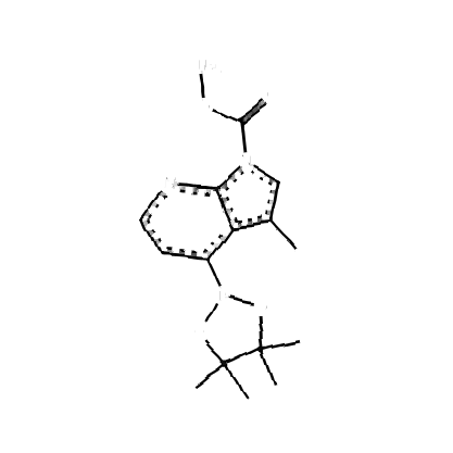 Cc1cn(C(=O)OC(C)(C)C)c2nccc(B3OC(C)(C)C(C)(C)O3)c12